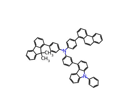 CC1(C)c2ccccc2-c2cccc(-c3ccc(N(c4ccc(-c5cccc6c5ccc5ccccc56)cc4)c4cccc(-c5cccc6c5c5ccccc5n6-c5ccccc5)c4)cc3)c21